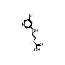 O=C(O)NCCNc1cncc(Br)c1